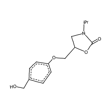 CC(C)N1CC(COc2ccc(CO)cc2)OC1=O